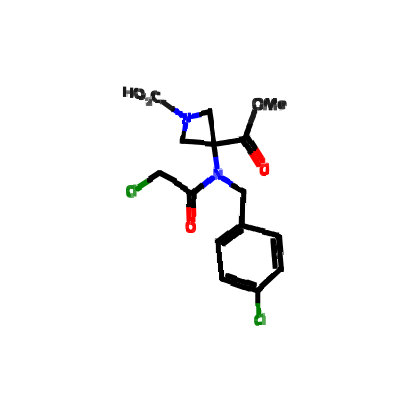 COC(=O)C1(N(Cc2ccc(Cl)cc2)C(=O)CCl)CN(C(=O)O)C1